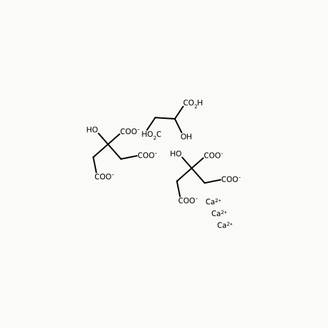 O=C(O)CC(O)C(=O)O.O=C([O-])CC(O)(CC(=O)[O-])C(=O)[O-].O=C([O-])CC(O)(CC(=O)[O-])C(=O)[O-].[Ca+2].[Ca+2].[Ca+2]